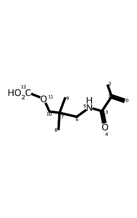 C=C(C)C(=O)NCC(C)(C)COC(=O)O